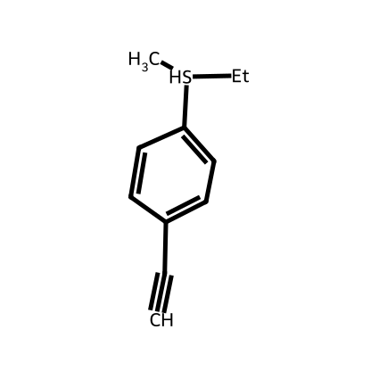 C#Cc1ccc([SH](C)CC)cc1